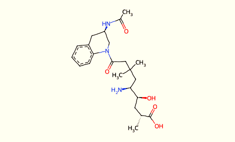 CC(=O)N[C@@H]1Cc2ccccc2N(C(=O)CC(C)(C)C[C@H](N)[C@@H](O)C[C@@H](C)C(=O)O)C1